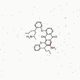 CCCC(CC(C)N)c1ccccc1Sc1cccc2c1C(=O)c1c(Sc3ccccc3C(CCC)CC(C)N)cccc1C2=O